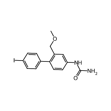 COCc1cc(NC(N)=O)ccc1-c1ccc(I)cc1